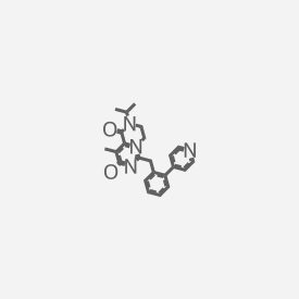 Cc1c2n(c(Cc3ccccc3-c3ccncc3)nc1=O)CCN(C(C)C)C2=O